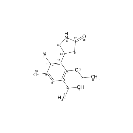 CCOc1c(C(C)O)cc(Cl)c(F)c1C1CNC(=O)C1